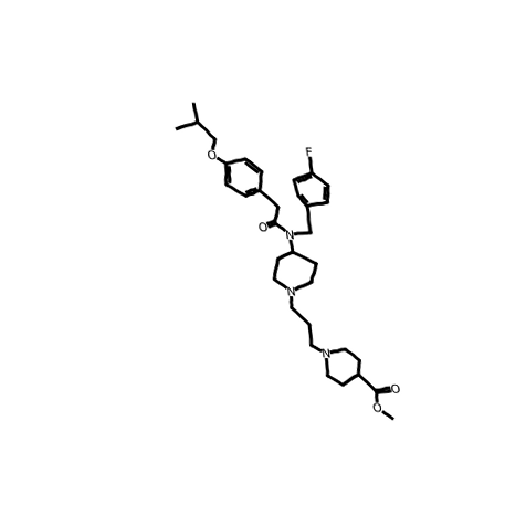 COC(=O)C1CCN(CCCN2CCC(N(Cc3ccc(F)cc3)C(=O)Cc3ccc(OCC(C)C)cc3)CC2)CC1